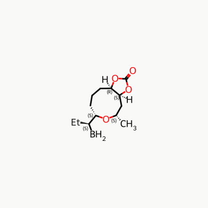 B[C@@H](CC)[C@@H]1CCC[C@H]2OC(=O)O[C@H]2C[C@H](C)O1